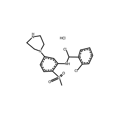 CS(=O)(=O)c1ccc(N2CCNCC2)cc1NC(Cl)c1ccccc1Cl.Cl